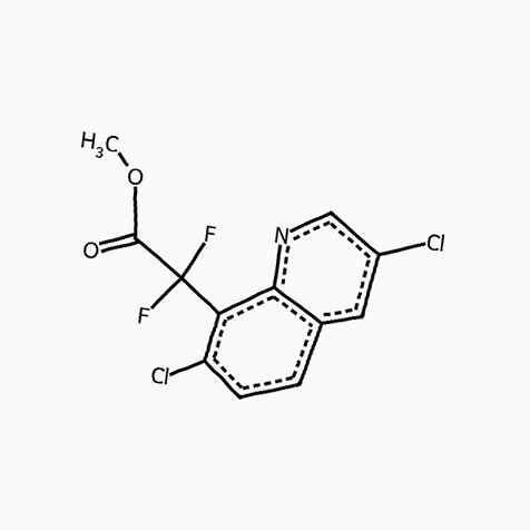 COC(=O)C(F)(F)c1c(Cl)ccc2cc(Cl)cnc12